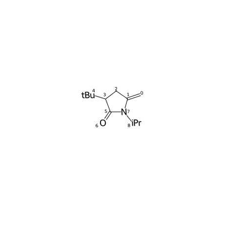 C=C1CC(C(C)(C)C)C(=O)N1C(C)C